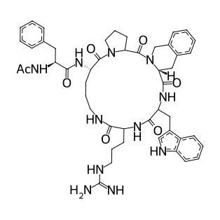 CC(=O)N[C@@H](Cc1ccccc1)C(=O)N[C@H]1CCCNC(=O)C(CCCNC(=N)N)NC(=O)C(Cc2c[nH]c3ccccc23)NC(=O)[C@H]2Cc3ccccc3CN2C(=O)C2CCCN2C1=O